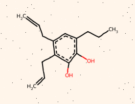 C=CCc1cc(CCC)c(O)c(O)c1CC=C